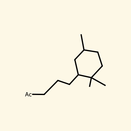 CC(=O)CCCC1CC(C)CCC1(C)C